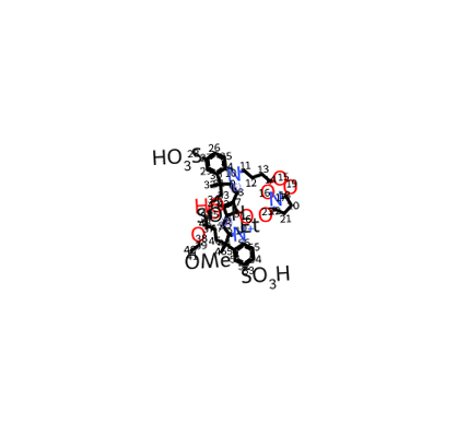 CC[N+]1=C(/C=C2\C(=O)C(/C=C3/N(CCCC(=O)ON4C(=O)CCC4=O)c4ccc(S(=O)(=O)O)cc4C3(C)CCOCCOCCOC)=C2O)C(C)(CCCS(=O)(=O)O)c2cc(S(=O)(=O)O)ccc21